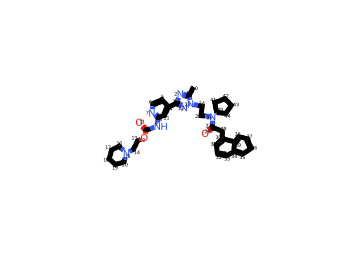 Cc1nc(-c2ccnc(NC(=O)OCCN3CCCCC3)c2)nn1CCN(C(=O)Cc1cccc2ccccc12)C1CCCC1